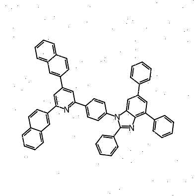 c1ccc(-c2cc(-c3ccccc3)c3nc(-c4ccccc4)n(-c4ccc(-c5cc(-c6ccc7ccccc7c6)cc(-c6ccc7ccccc7c6)n5)cc4)c3c2)cc1